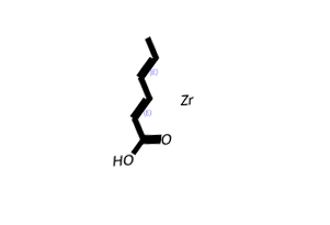 C/C=C/C=C/C(=O)O.[Zr]